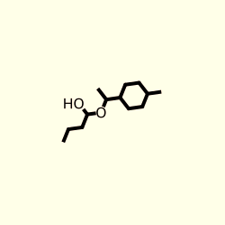 CCCC(O)OC(C)C1CCC(C)CC1